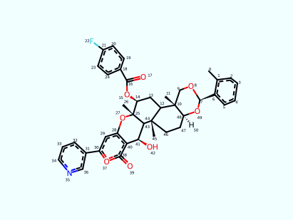 Cc1ccccc1[C@@H]1OC[C@@]2(C)C3C[C@H](OC(=O)c4ccc(F)cc4)[C@@]4(C)Oc5cc(-c6cccnc6)oc(=O)c5[C@H](O)C4[C@@]3(C)CC[C@@H]2O1